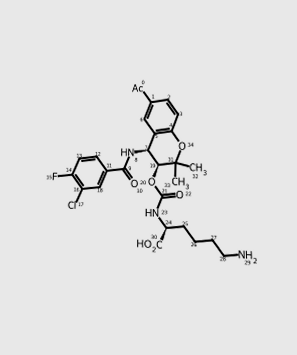 CC(=O)c1ccc2c(c1)[C@H](NC(=O)c1ccc(F)c(Cl)c1)[C@H](OC(=O)N[C@@H](CCCCN)C(=O)O)C(C)(C)O2